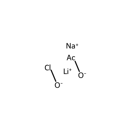 CC(=O)[O-].[Li+].[Na+].[O-]Cl